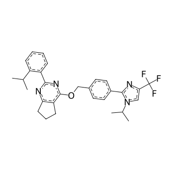 CC(C)c1ccccc1-c1nc2c(c(OCc3ccc(-c4nc(C(F)(F)F)cn4C(C)C)cc3)n1)CCC2